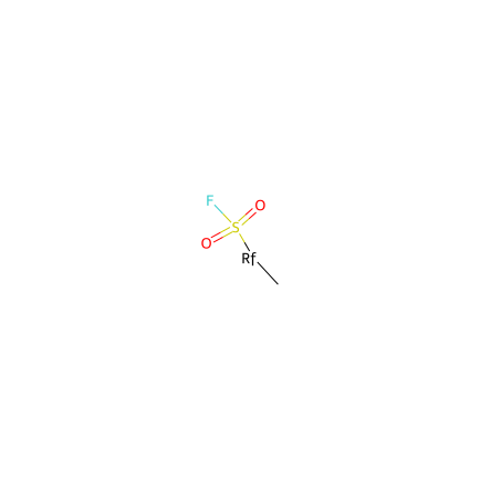 [CH3][Rf][S](=O)(=O)F